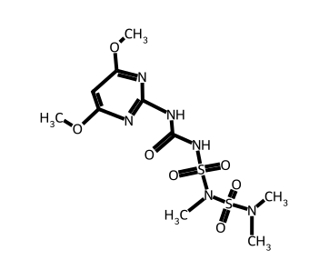 COc1cc(OC)nc(NC(=O)NS(=O)(=O)N(C)S(=O)(=O)N(C)C)n1